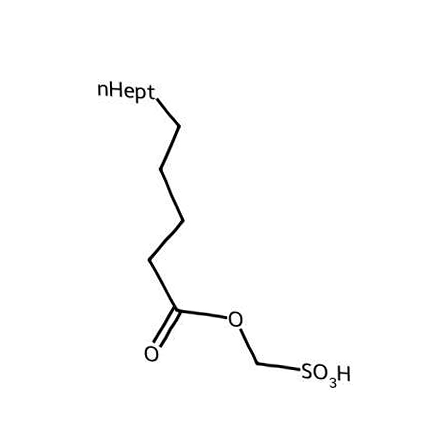 CCCCCCCCCCCC(=O)OCS(=O)(=O)O